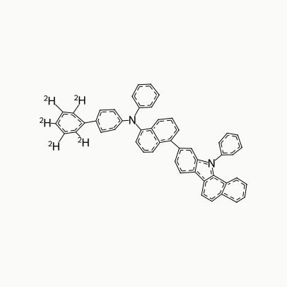 [2H]c1c([2H])c([2H])c(-c2ccc(N(c3ccccc3)c3cccc4c(-c5ccc6c7ccc8ccccc8c7n(-c7ccccc7)c6c5)cccc34)cc2)c([2H])c1[2H]